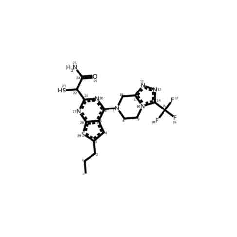 CCCc1cc2c(N3CCn4c(nnc4C(F)(F)F)C3)nc(C(S)C(N)=O)nc2s1